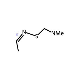 C/C=N\SCNC